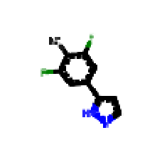 N#Cc1c(F)cc(-c2ccn[nH]2)cc1F